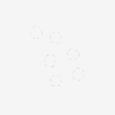 c1ccc(-c2cccc(C(c3cccc(-c4ccccc4)c3)c3cccc(-c4ccccc4)c3)c2)cc1